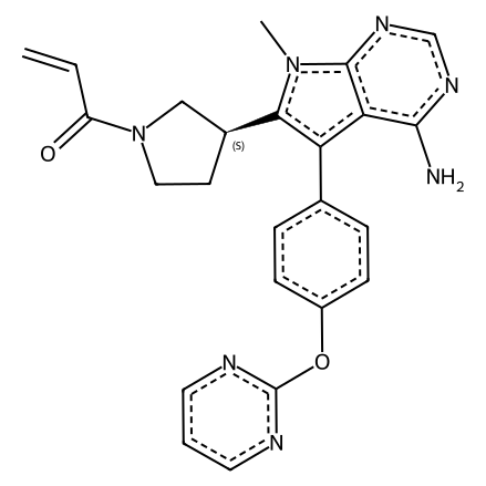 C=CC(=O)N1CC[C@H](c2c(-c3ccc(Oc4ncccn4)cc3)c3c(N)ncnc3n2C)C1